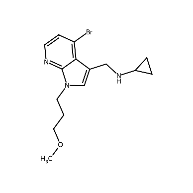 COCCCn1cc(CNC2CC2)c2c(Br)ccnc21